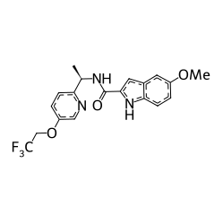 COc1ccc2[nH]c(C(=O)N[C@H](C)c3ccc(OCC(F)(F)F)cn3)cc2c1